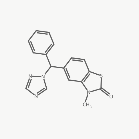 Cn1c(=O)sc2ccc(C(c3ccccc3)n3cncn3)cc21